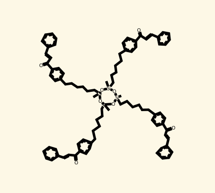 C[Si]1(CCCCCCc2ccc(C(=O)C=Cc3ccccc3)cc2)O[Si](C)(CCCCCCc2ccc(C(=O)C=Cc3ccccc3)cc2)O[Si](C)(CCCCCCc2ccc(C(=O)C=Cc3ccccc3)cc2)O[Si](C)(CCCCCCc2ccc(C(=O)C=Cc3ccccc3)cc2)O1